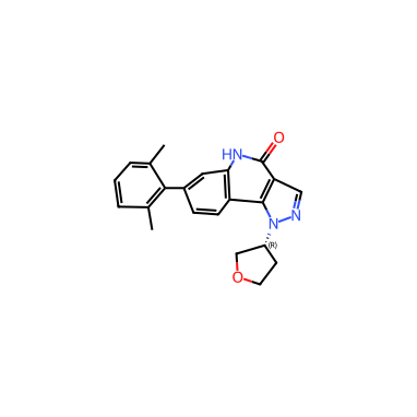 Cc1cccc(C)c1-c1ccc2c(c1)[nH]c(=O)c1cnn([C@@H]3CCOC3)c12